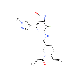 C=CC(=O)N1C[C@@H](CNc2nc(-c3cnn(C)c3)c3c(c2F)NC3=O)CC[C@H]1C=C